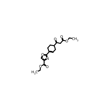 CCOC(=O)CC(=O)C1CC=C(c2nc(C(=O)OCC)co2)CC1